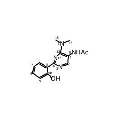 CC(=O)Nc1cnc(-c2ccccc2O)nc1N(C)C